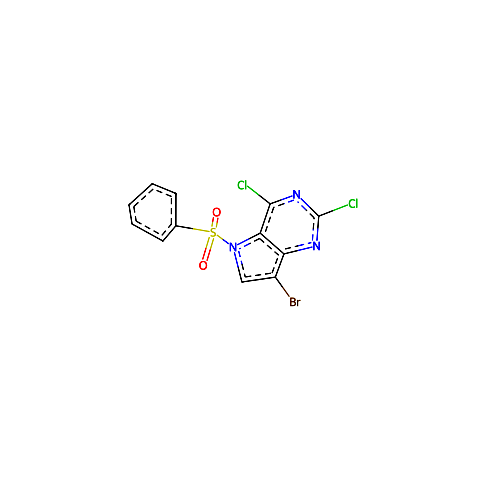 O=S(=O)(c1ccccc1)n1cc(Br)c2nc(Cl)nc(Cl)c21